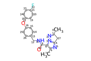 CC1=Nn2c(nc(C)c2C(=O)NCc2ccc(Oc3ccc(F)cc3)cc2)C1